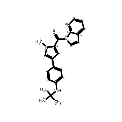 Cn1cc(-c2ccc(NC(C)(C)C)cc2)cc1C(=O)n1ccc2cccnc21